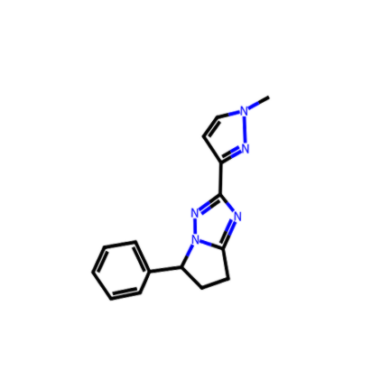 Cn1ccc(-c2nc3n(n2)C(c2ccccc2)CC3)n1